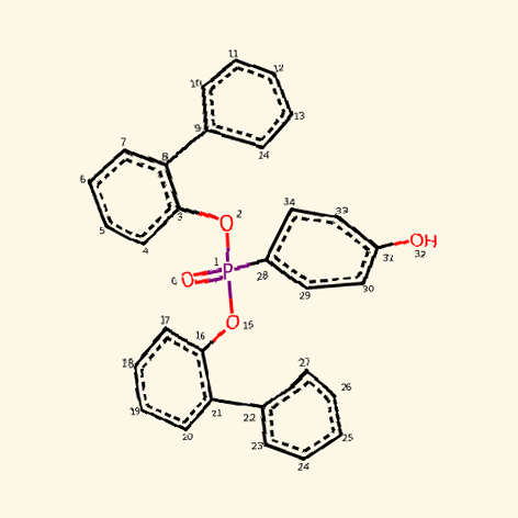 O=P(Oc1ccccc1-c1ccccc1)(Oc1ccccc1-c1ccccc1)c1ccc(O)cc1